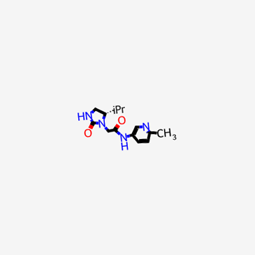 Cc1ccc(NC(=O)CN2C(=O)NC[C@@H]2C(C)C)cn1